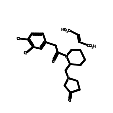 O=C(O)C=CC(=O)O.O=C1CCN(CC2CCCCN2C(=O)Cc2ccc(Cl)c(Cl)c2)C1